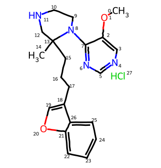 COc1cncnc1N1CCNCC1(C)CCCc1coc2ccccc12.Cl